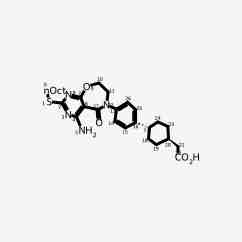 CCCCCCCCSc1nc(N)c2c(n1)OCCN(c1ccc([C@H]3CC[C@H](CC(=O)O)CC3)cc1)C2=O